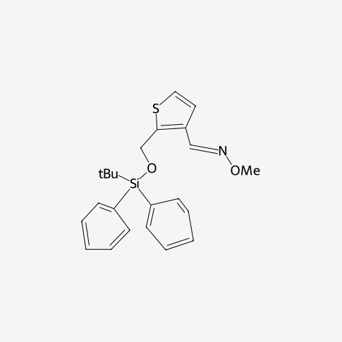 CON=Cc1ccsc1CO[Si](c1ccccc1)(c1ccccc1)C(C)(C)C